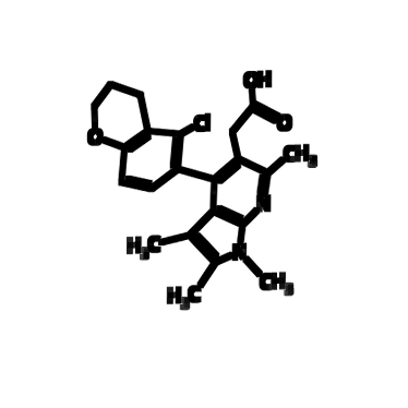 Cc1nc2c(c(C)c(C)n2C)c(-c2ccc3c(c2Cl)CCCO3)c1CC(=O)O